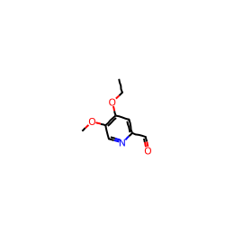 CCOc1cc(C=O)ncc1OC